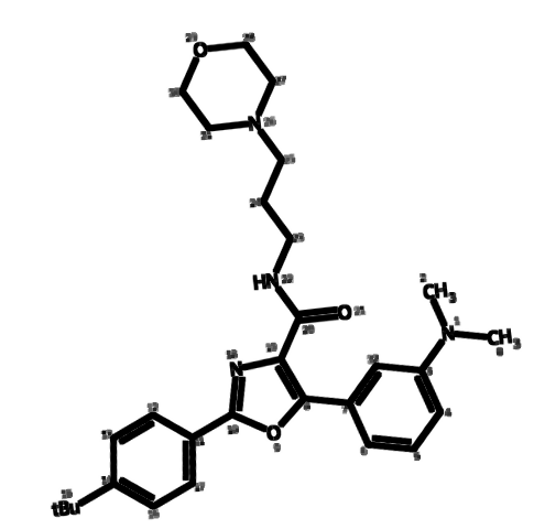 CN(C)c1cccc(-c2oc(-c3ccc(C(C)(C)C)cc3)nc2C(=O)NCCCN2CCOCC2)c1